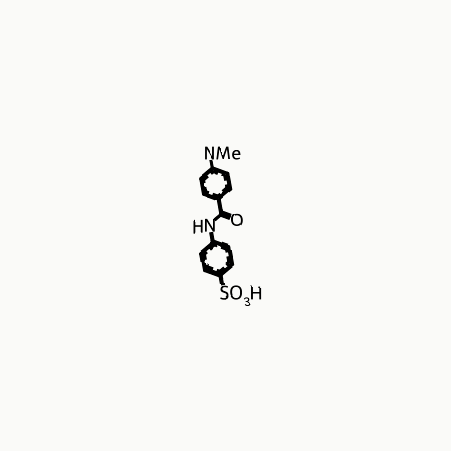 CNc1ccc(C(=O)Nc2ccc(S(=O)(=O)O)cc2)cc1